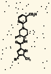 Cc1[nH]c(C(=O)N[C@@H]2CCN(c3cc(C(=O)O)ccn3)C[C@@H]2F)cc1Br